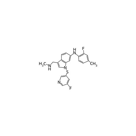 CNCc1cn(Sc2cncc(F)c2)c2cc(Nc3ccc(C)cc3F)ccc12